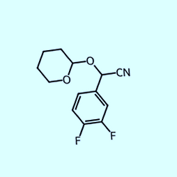 N#CC(OC1CCCCO1)c1ccc(F)c(F)c1